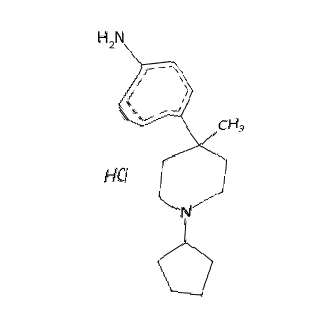 CC1(c2ccc(N)cc2)CCN(C2CCCC2)CC1.Cl